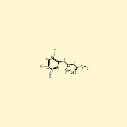 NC(=O)CC(N)Cc1cc(F)c(F)cc1F